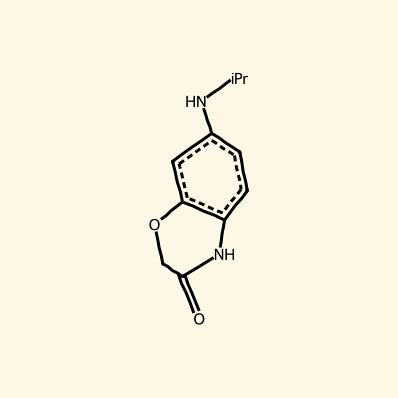 CC(C)Nc1ccc2c(c1)OCC(=O)N2